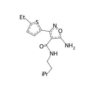 CCc1ccc(-c2noc(N)c2C(=O)NCCC(C)C)s1